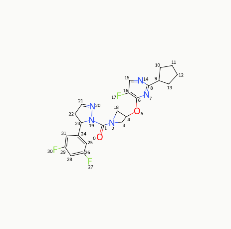 O=C(N1CC(Oc2nc(C3CCCC3)ncc2F)C1)N1N=CCC1c1cc(F)cc(F)c1